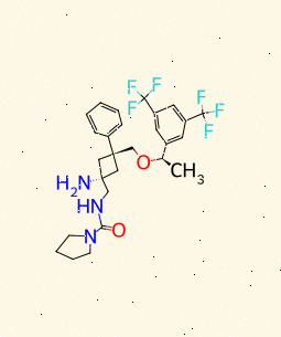 C[C@@H](OC[C@]1(c2ccccc2)C[C@](N)(CNC(=O)N2CCCC2)C1)c1cc(C(F)(F)F)cc(C(F)(F)F)c1